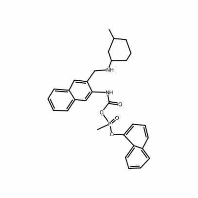 CC1CCCC(NCc2cc3ccccc3cc2NC(=O)OP(C)(=O)Oc2cccc3ccccc23)C1